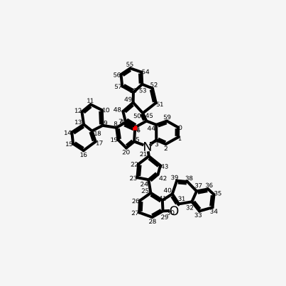 c1ccc(N(c2ccc(-c3cccc4ccccc34)cc2)c2ccc(-c3cccc4oc5c6ccccc6ccc5c34)cc2)c(-c2cccc3c2ccc2ccccc23)c1